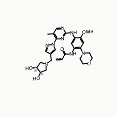 C=CC(=O)Nc1cc(Nc2ncc(C)c(-n3cc(CN4C[C@@H](O)[C@@H](O)C4)cn3)n2)c(OC)cc1N1CCOCC1